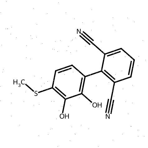 CSc1ccc(-c2c(C#N)cccc2C#N)c(O)c1O